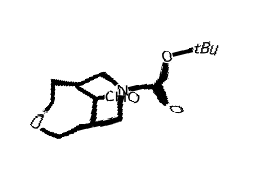 CC(C)(C)OC(=O)N1CC2COCC(C1)C2C=O